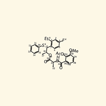 CCc1cc(F)ccc1[C@@H](Sc1ccccc1)[C@H](C)OC(=O)[C@H](C)NC(=O)c1nccc(OC)c1OC(C)=O